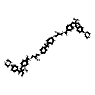 CCC(Cc1ccc(C(=O)OCC(O)COc2ccc(C(C)(C)c3ccc(OCC(O)COC(=O)c4ccc(CC(CC)(C(=O)c5ccc(N6CCOCC6)cc5)N(C)C)cc4)cc3)cc2)cc1)(C(=O)c1ccc(N2CCOCC2)cc1)N(C)C